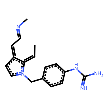 C\C=c1/c(=C\C=N\C)ccn1Cc1ccc(NC(=N)N)cc1